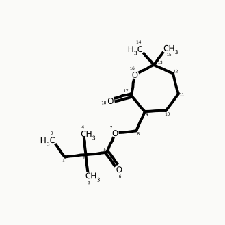 CCC(C)(C)C(=O)OCC1CCCC(C)(C)OC1=O